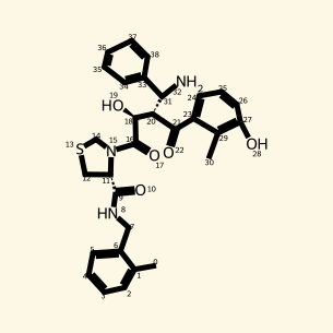 Cc1ccccc1CNC(=O)[C@@H]1CSCN1C(=O)[C@@H](O)[C@@H](C(=O)c1cccc(O)c1C)C(N)c1ccccc1